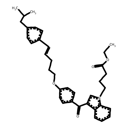 CCOC(=O)CCCn1cc(C(=O)c2ccc(OCCCC=Cc3ccc(CC(C)C)cc3)cc2)c2ccccc21